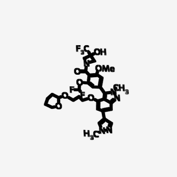 COc1cc(-c2c3c(OCCCOC4CCCCO4)cc(-c4cnn(C)c4)cc3nn2C)cc(OC(F)F)c1C(=O)N1CC(O)(C(F)(F)F)C1